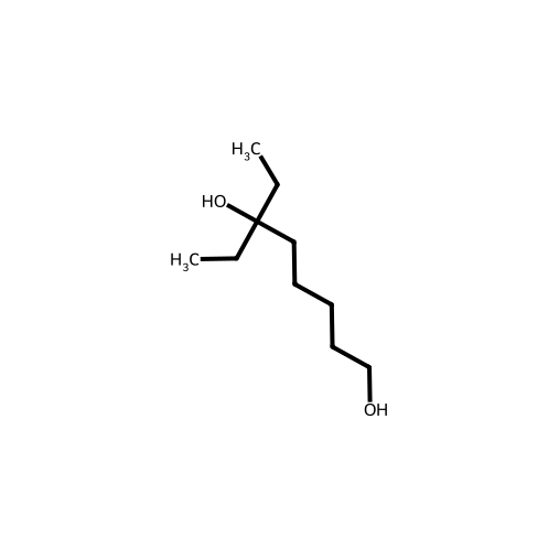 CCC(O)(CC)CCCCCO